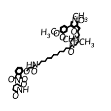 COc1ccc(-c2cn(C)c(=O)c3cc(CN4CCN(C(=O)CCCCCCCCCCNC(=O)COc5cccc6c5C(=O)N(C5CCC(=O)NC5=O)C6=O)CC4C)oc23)cc1OC